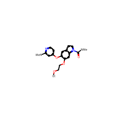 CCOCCOc1cc2c(ccn2C(=O)NC)cc1Oc1ccnc(NC)c1